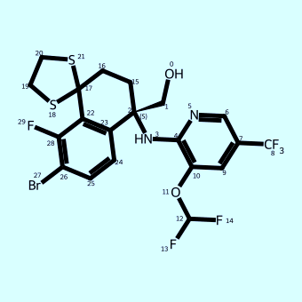 OC[C@]1(Nc2ncc(C(F)(F)F)cc2OC(F)F)CCC2(SCCS2)c2c1ccc(Br)c2F